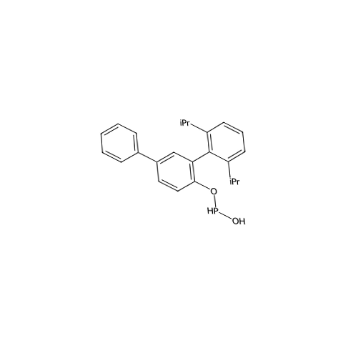 CC(C)c1cccc(C(C)C)c1-c1cc(-c2ccccc2)ccc1OPO